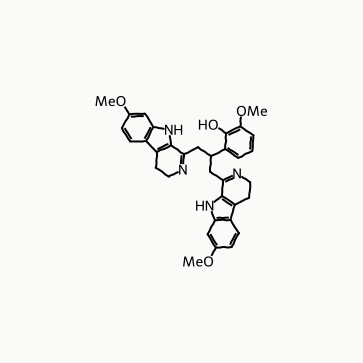 COc1ccc2c3c([nH]c2c1)C(CC(CC1=NCCc2c1[nH]c1cc(OC)ccc21)c1cccc(OC)c1O)=NCC3